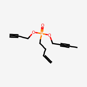 C#CCOP(=O)(CCC=C)OCC#CC